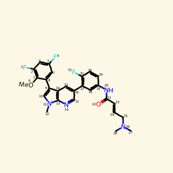 COc1c(F)cc(F)cc1-c1cn(C)c2ncc(-c3cc(NC(=O)/C=C/CN(C)C)ccc3F)cc12